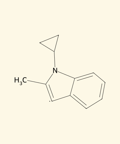 Cc1[c]c2ccccc2n1C1CC1